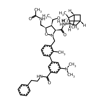 CC(=O)NC[C@@H]1ON(Cc2cccc(-c3cc(C(=O)NCCc4ccccc4)cc(N(C)C)c3)c2C)[C@H](C(=O)N[C@H]2C[C@H]3C[C@@H]([C@@H]2C)C3(C)C)[C@@H]1[C@H](C)O